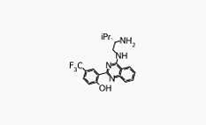 CC(C)[C@H](N)CNc1nc(-c2cc(C(F)(F)F)ccc2O)nc2ccccc12